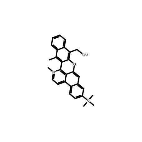 Cc1c2c(c(CC(C)(C)C)c3ccccc13)Oc1cc3cc([Si](C)(C)C)ccc3c3cc[n+](C)c-2c13